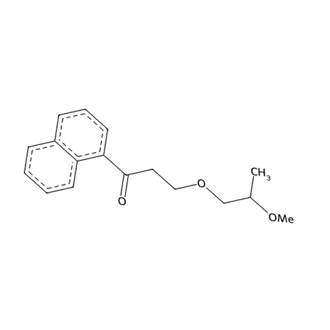 COC(C)COCCC(=O)c1cccc2ccccc12